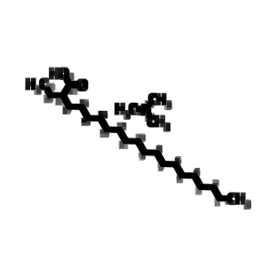 CCCCCCCCCCCCCCCCCCC(CC)C(=O)O.CN(C)C